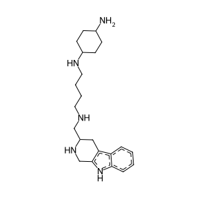 NC1CCC(NCCCCNCC2Cc3c([nH]c4ccccc34)CN2)CC1